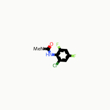 CNC(=O)Nc1c(F)cc(F)cc1Cl